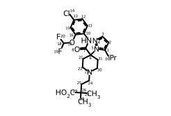 CC(C)c1ccnn1C1(C(=O)Nc2ccc(Cl)cc2OC(F)F)CCN(CCC(C)(C)C(=O)O)CC1